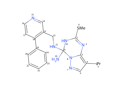 CSC1=Nc2c(C(C)C)cnn2C(N)(NCc2cnccc2-c2ccccc2)N1